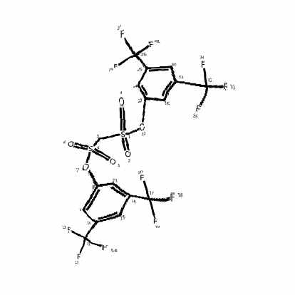 O=S(=O)(CS(=O)(=O)Oc1cc(C(F)(F)F)cc(C(F)(F)F)c1)Oc1cc(C(F)(F)F)cc(C(F)(F)F)c1